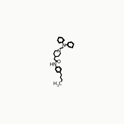 CCCCc1ccc(NC(=O)CC2CCN(CCN(c3ccccc3)c3ccccc3)CC2)cc1